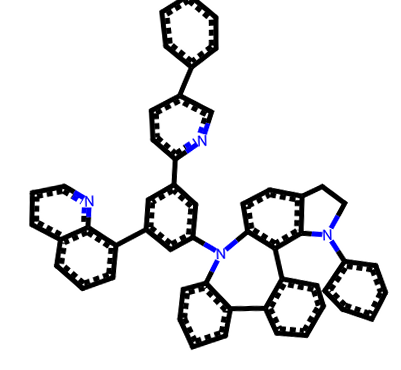 c1ccc(-c2ccc(-c3cc(-c4cccc5cccnc45)cc(N4c5ccccc5-c5ccccc5-c5c4ccc4c5N(c5ccccc5)CC4)c3)nc2)cc1